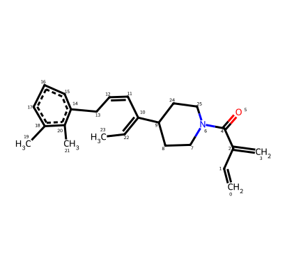 C=CC(=C)C(=O)N1CCC(C(/C=C\Cc2cccc(C)c2C)=C/C)CC1